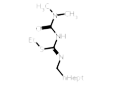 CCCCCCCCN=C(NC(=O)N(C)C)SCC